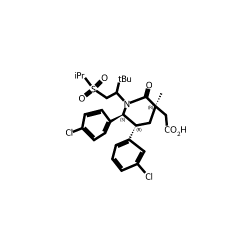 CC(C)S(=O)(=O)CC(N1C(=O)[C@@](C)(CC(=O)O)C[C@H](c2cccc(Cl)c2)[C@H]1c1ccc(Cl)cc1)C(C)(C)C